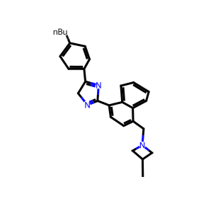 CCCCc1ccc(C2=NC(c3ccc(CN4CC(C)C4)c4ccccc34)=NC2)cc1